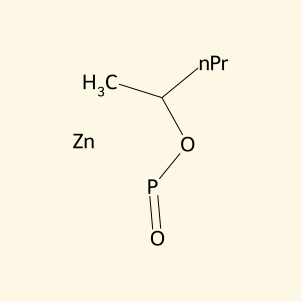 CCCC(C)OP=O.[Zn]